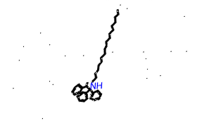 CCCCCCCCCCCCCCCCCCCNC(c1ccccc1)(c1ccccc1)C(C)c1ccccc1